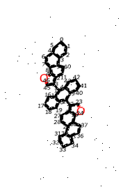 c1ccc2c(c1)ccc1c2ccc2c(-c3c4ccccc4c(-c4coc5c4ccc4c6ccccc6ccc45)c4ccccc34)coc21